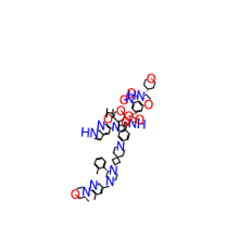 Cc1ccccc1[C@@H]1CN(Cc2cnc(N3CCOC[C@@H]3C)c(C)c2)CCN1C1CC2(CCN(c3ccc(C(=O)NS(=O)(=O)c4cc5c(c([N+](=O)[O-])c4)N[C@H](C4CCOCC4)CO5)c(N4c5cc6cc[nH]c6nc5O[C@H]5COCC[C@@H]54)c3)CC2)C1